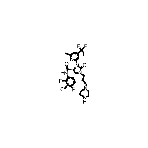 Cc1cc(C(F)(F)F)cc(N2C(=O)N(CCCN3CCNCC3)C[C@H]2C(=O)N(C)c2ccc(F)c(Cl)c2F)n1